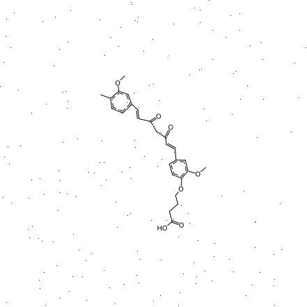 COc1cc(/C=C/C(=O)CC(=O)/C=C/c2ccc(OCCCC(=O)O)c(OC)c2)ccc1C